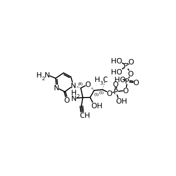 C#CC1(N)C(O)[C@@H]([C@H](C)OP(=O)(O)OP(=O)(O)OP(=O)(O)O)O[C@H]1n1ccc(N)nc1=O